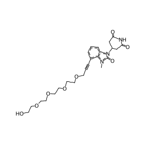 Cn1c(=O)n(C2CC(=O)NC(=O)C2)c2cccc(C#CCOCCOCCOCCOCCO)c21